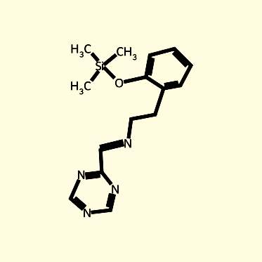 C[Si](C)(C)Oc1ccccc1CCN=Cc1ncncn1